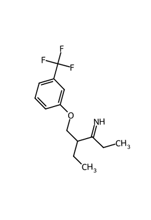 CCC(=N)C(CC)COc1cccc(C(F)(F)F)c1